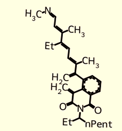 C=C(/C(C)=C/C=C(CC)/C(C)=C/C=N\C)c1cccc2c1C(=C)C(=O)N(C(CC)CCCCC)C2=O